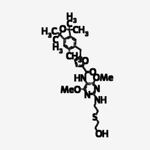 COc1nc(NCCSCCO)nc(OC)c1NC(=O)c1ccc(Cc2cc3c(cc2C)C(C)(C)OC3(C)C)o1